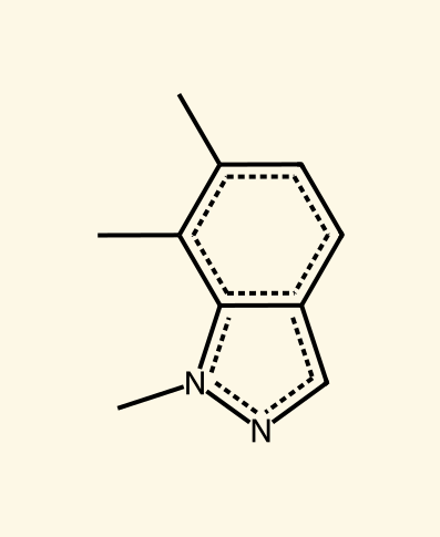 Cc1ccc2cnn(C)c2c1C